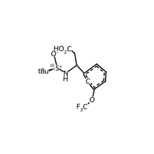 CC(C)(C)[S@@+]([O-])NC(CC(=O)O)c1cccc(OC(F)(F)F)c1